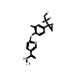 Cc1cc(C2(C(F)(F)CF)CC2)ccc1Oc1ccc(C(=O)NO)cn1